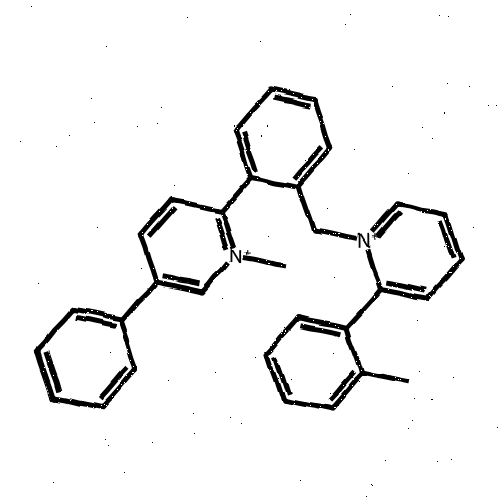 Cc1ccccc1-c1cccc[n+]1Cc1ccccc1-c1ccc(-c2ccccc2)c[n+]1C